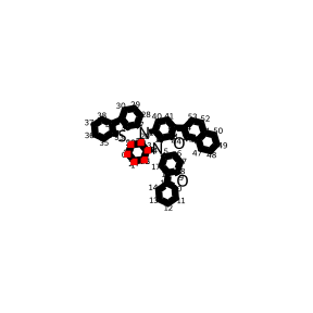 c1ccc(N(c2ccc3oc4ccccc4c3c2)c2c(N(c3ccccc3)c3cccc4c3sc3ccccc34)ccc3c2oc2c4ccccc4ccc32)cc1